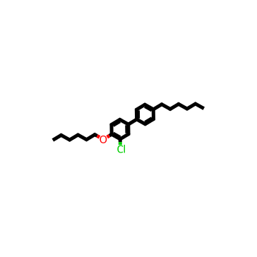 CCCCCCOc1ccc(-c2ccc(CCCCCC)cc2)cc1Cl